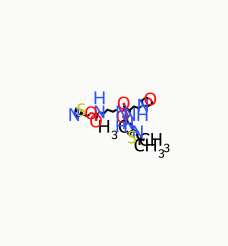 CC(C)c1nc(CN(C)C(=O)NC(CCN2CCOCC2)C(=O)NCCCCNC(=O)OCc2cncs2)cs1